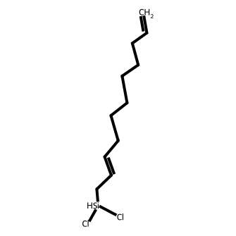 C=CCCCCCCC=CC[SiH](Cl)Cl